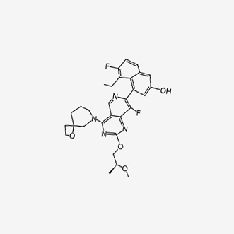 CCc1c(F)ccc2cc(O)cc(-c3ncc4c(N5CCCC6(CCO6)C5)nc(OC[C@H](C)OC)nc4c3F)c12